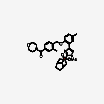 COC(=O)C1C2CCC1CN(c1nc(-c3cc(C)ccc3OCc3ccc(C(=O)N4CCOCC4)cc3C)cs1)C2